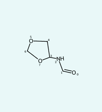 O=CNC1COCO1